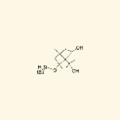 CC(C)(C)[SiH2]OC1(C)CC(C)(CCO)C1(C)C(C)(C)O